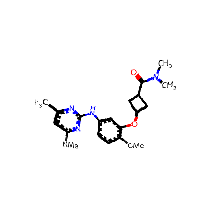 CNc1cc(C)nc(Nc2ccc(OC)c(OC3CC(C(=O)N(C)C)C3)c2)n1